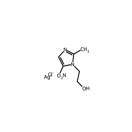 Cc1ncc([N+](=O)[O-])n1CCO.[Ag+].[Cl-]